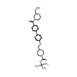 CC(C)(C)OC(=O)N1CCC(COc2ccc(-c3ccc(C(=O)N4CCOC(CO)C4)cc3)nc2)CC1